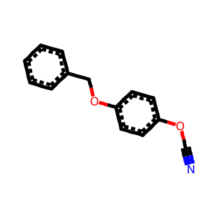 N#COc1ccc(OCc2ccccc2)cc1